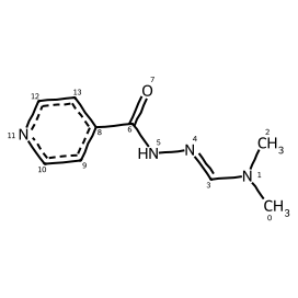 CN(C)/C=N/NC(=O)c1ccncc1